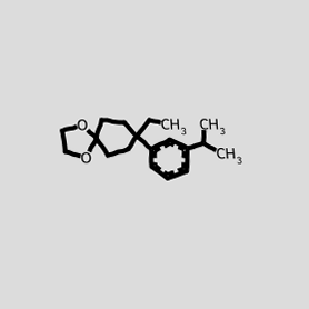 CCC1(c2cccc(C(C)C)c2)CCC2(CC1)OCCO2